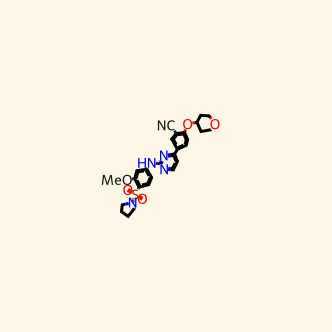 COc1cc(Nc2nccc(-c3ccc(OC4CCOCC4)c(C#N)c3)n2)ccc1S(=O)(=O)N1CCCC1